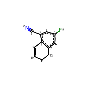 N#Cc1cc(F)cc2c1C=CCC2